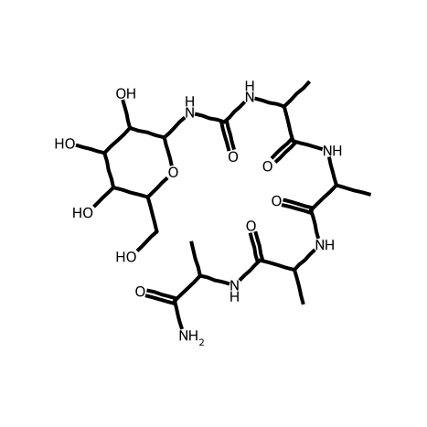 CC(NC(=O)C(C)NC(=O)C(C)NC(=O)C(C)NC(=O)NC1OC(CO)C(O)C(O)C1O)C(N)=O